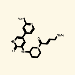 CNC/C=C/C(=O)N1CCCC(Nc2cc(-c3ccnc(NC)c3)c[nH]c2=O)C1